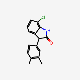 Cc1ccc(C2C(=O)Nc3c(Cl)cccc32)cc1C